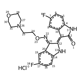 Cl.O=C1Nc2ccc(F)cc2/C1=C1/Nc2ccc(F)cc2/C1=N\OCCN1CCOCC1